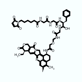 CC[C@H]1C(=O)OCc2c1cc1n(c2=O)Cc2c-1nc1cc(F)c(C)c3c1c2[C@@H](NC(=O)COCNC(=O)CNC(O)[C@H](Cc1ccccc1)NC(=O)CNC(=O)CNC(=O)CCCCCN1C(=O)C=CC1=O)CC3